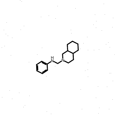 c1ccc(NCN2CCC3CCCCC3C2)cc1